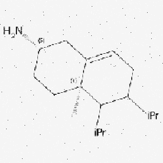 CC(C)C1CC=C2C[C@@H](N)CC[C@]2(C)C1C(C)C